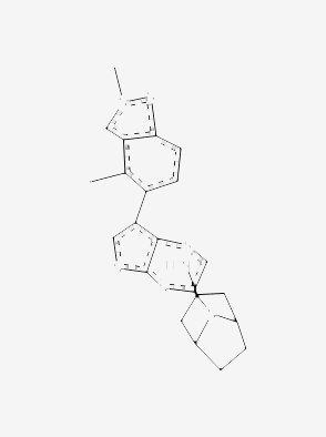 Cn1cc2c(Cl)c(-c3c[nH]c4nc(N5C6CCC5CC(N)C6)cnc34)ccc2n1